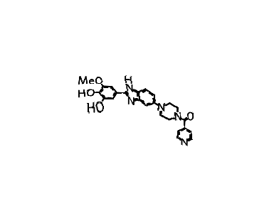 COc1cc(-c2nc3cc(N4CCN(C(=O)c5ccncc5)CC4)ccc3[nH]2)cc(O)c1O